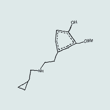 COc1cc(CCNCC2CC2)ccc1O